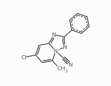 CC1=CC(Cl)=CC2=NC(c3ccccc3)=N[N+]12C#N